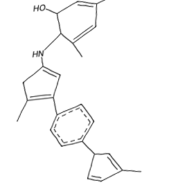 CC1=CC(c2ccc(C3=C(C)CC(NC4C(C)=CC(O)=CC4O)=C3)cc2)C=C1